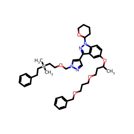 CC(CCOCCCOCc1ccccc1)Oc1ccc2c(c1)c(-c1cnn(COCC[Si](C)(C)CCc3ccccc3)c1)nn2C1CCCCO1